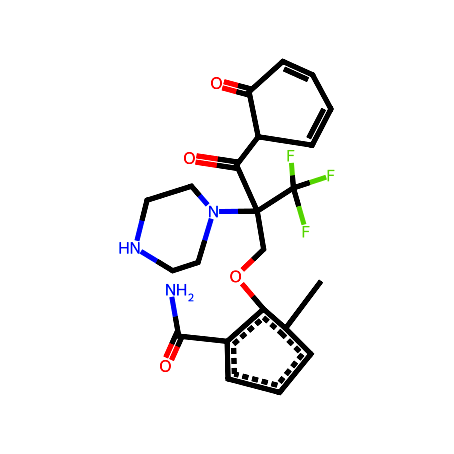 Cc1cccc(C(N)=O)c1OCC(C(=O)C1C=CC=CC1=O)(N1CCNCC1)C(F)(F)F